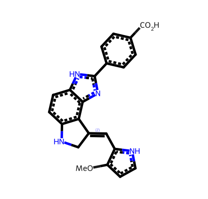 COc1cc[nH]c1/C=C1\CNc2ccc3[nH]c(-c4ccc(C(=O)O)cc4)nc3c21